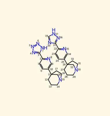 c1cc(-c2nnn[nH]2)ncc1C12CCCN(CC1)C2.c1nc(-c2ccc(C34CCCN(CC3)C4)cn2)n[nH]1